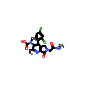 CNC(=O)CN1Cc2c(nc(C)c(N(C)C(=O)O)c2-c2ccc(Cl)cc2Cl)C1=O